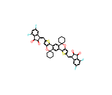 O=C1C(=O)c2c(F)cc(F)cc2/C1=C/c1cc2c(s1)-c1cc3c(cc1C1(CCCCC1)O2)-c1sc(/C=C2\C(=O)C(=O)c4c(F)cc(F)cc42)cc1OC31CCCCC1